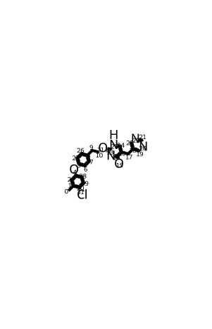 Cc1cc(Oc2ccc(CCOc3nc(=O)c(Cc4cncnc4)c[nH]3)cc2)ccc1Cl